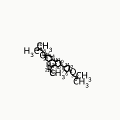 CC(C)COc1ccc(C2=CC=C(c3ccc(OCC(C)C)cc3)/C(=C3\CCC3C)C2)cc1